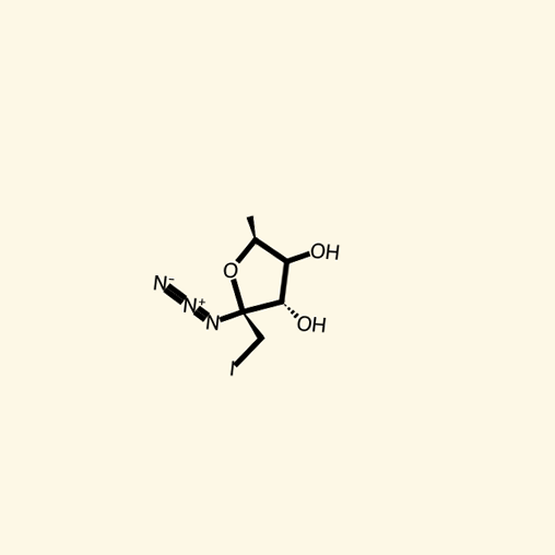 C[C@@H]1O[C@@](CI)(N=[N+]=[N-])[C@@H](O)C1O